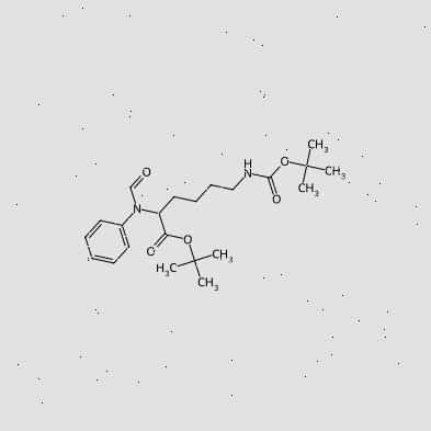 CC(C)(C)OC(=O)NCCCCC(C(=O)OC(C)(C)C)N(C=O)c1cc[c]cc1